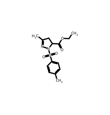 CCOC(=O)C1CC(C)=NN1S(=O)(=O)c1ccc(C)cc1